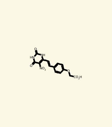 O=C(O)COc1ccc(C=Cc2[nH]c(=O)[nH]c(=O)c2[N+](=O)[O-])cc1